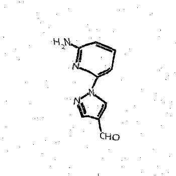 Nc1cccc(-n2cc(C=O)cn2)n1